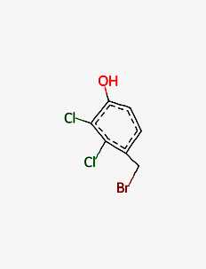 Oc1ccc(CBr)c(Cl)c1Cl